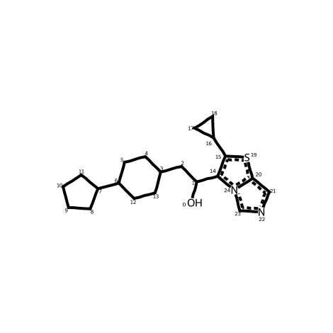 OC(CC1CCC(C2CCCC2)CC1)c1c(C2CC2)sc2cncn12